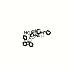 O[C@@H]1[C@H](O)[C@@H](CO[Si](c2ccccc2)(c2ccccc2)c2ccccc2)O[C@H]1n1cnc2c(NCc3ccccc3)ncnc21